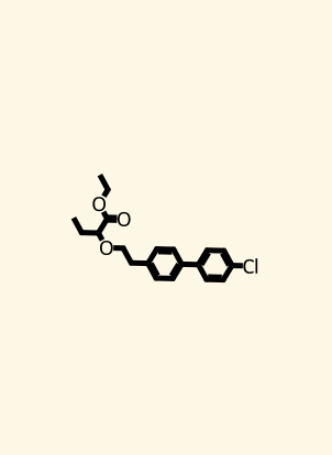 CCOC(=O)C(CC)OCCc1ccc(-c2ccc(Cl)cc2)cc1